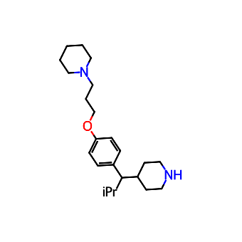 CC(C)C(c1ccc(OCCCN2CCCCC2)cc1)C1CCNCC1